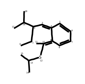 CCC(/C=c1/cccc/c1=C(/C)SC(C)C)C(C)C